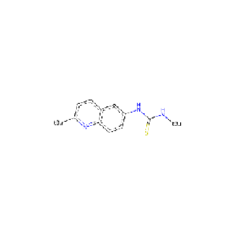 CC(C)(C)NC(=S)Nc1ccc2nc(C(C)(C)C)ccc2c1